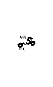 Cl.Cl.Nc1cccc(CNCCc2c3c(n4ccccc24)CCCC3)c1